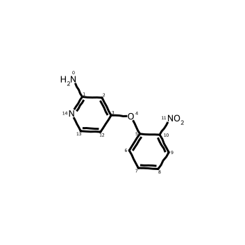 Nc1cc(Oc2ccccc2[N+](=O)[O-])ccn1